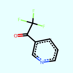 O=C(c1[c]ccnc1)C(F)(F)F